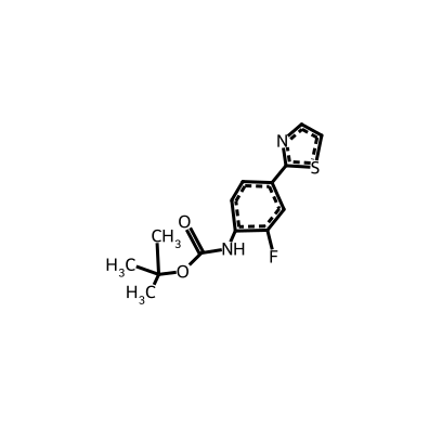 CC(C)(C)OC(=O)Nc1ccc(-c2nccs2)cc1F